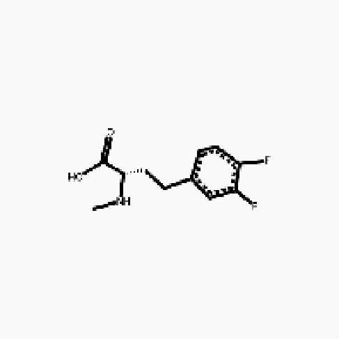 CN[C@@H](CCc1ccc(F)c(F)c1)C(=O)O